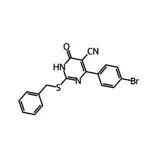 N#Cc1c(-c2ccc(Br)cc2)nc(SCc2ccccc2)[nH]c1=O